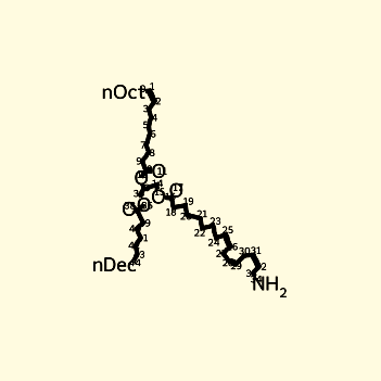 CCCCCCCC/C=C\CCCCCCCC(=O)OC(COC(=O)CCCCCCC/C=C\C/C=C\C/C=C\CN)COC(=O)CCCCCCCCCCCCCCC